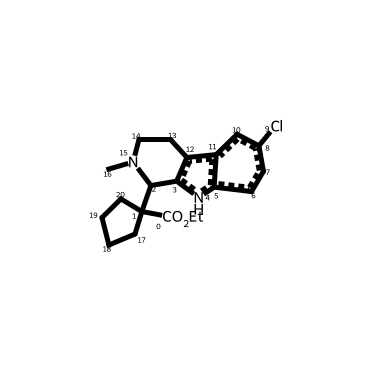 CCOC(=O)C1(C2c3[nH]c4ccc(Cl)cc4c3CCN2C)CCCC1